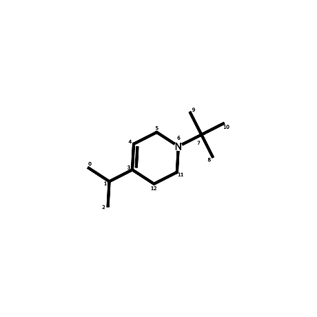 CC(C)C1=CCN(C(C)(C)C)CC1